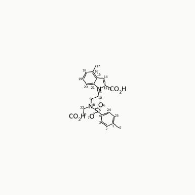 Cc1ccc(S(=O)(=O)N(CCn2c(C(=O)O)cc3c(C)cccc32)CC(=O)O)cc1